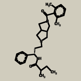 CCC(C)C(=O)N[C@@H](CCN1CC2CN(C(=O)c3c(C)cccc3C)CC2C1)c1ccccc1